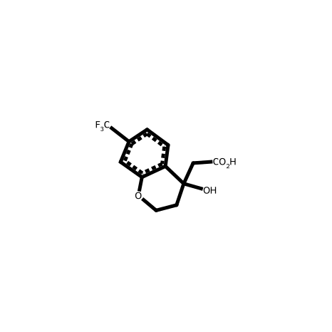 O=C(O)CC1(O)CCOc2cc(C(F)(F)F)ccc21